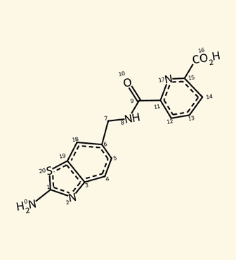 Nc1nc2ccc(CNC(=O)c3cccc(C(=O)O)n3)cc2s1